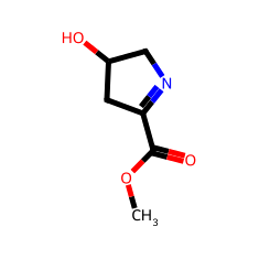 COC(=O)C1=NCC(O)C1